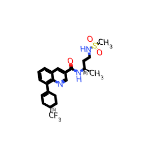 C[C@H](CCNS(C)(=O)=O)NC(=O)c1cnc2c(C3=CC[C@@H](C(F)(F)F)CC3)cccc2c1